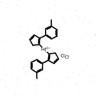 Cc1cccc(C2=[C]([Hf+2][C]3=C(c4cccc(C)c4)C=CC3)CC=C2)c1.[Cl-].[Cl-]